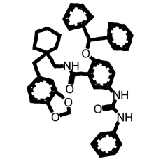 O=C(Nc1ccccc1)Nc1ccc(OC(c2ccccc2)c2ccccc2)c(C(=O)NCC2(Cc3ccc4c(c3)OCO4)CCCCC2)c1